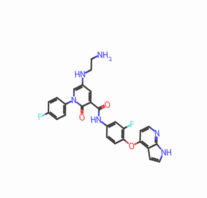 NCCNc1cc(C(=O)Nc2ccc(Oc3ccnc4[nH]ccc34)c(F)c2)c(=O)n(-c2ccc(F)cc2)c1